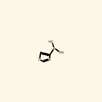 OB(O)c1cocn1